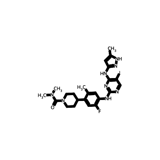 Cc1cc(Nc2nc(Nc3cc(C)c(C4CCN(C(=O)N(C)C)CC4)cc3F)ncc2I)n[nH]1